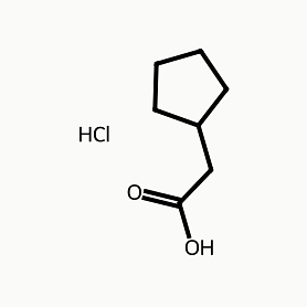 Cl.O=C(O)CC1CCCC1